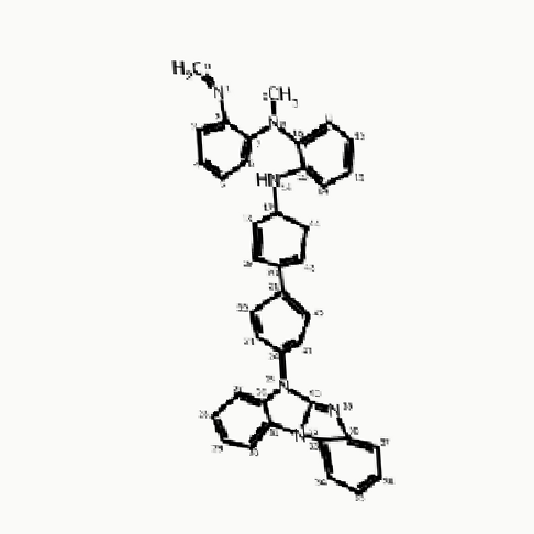 C=Nc1ccccc1N(C)c1ccccc1NC1C=CC(c2ccc(-n3c4ccccc4n4c5ccccc5nc34)cc2)=CC1